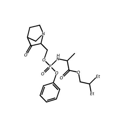 CCC(CC)COC(=O)C(C)NP(=O)(OCC1C(=O)C2CCN1C2)Oc1ccccc1